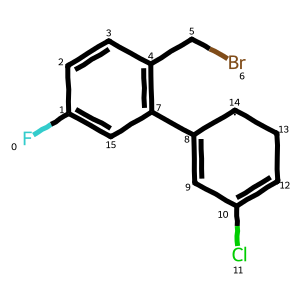 Fc1ccc(CBr)c(C2=CC(Cl)=CC[CH]2)c1